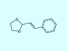 C(=CC1OCCO1)c1ccccc1